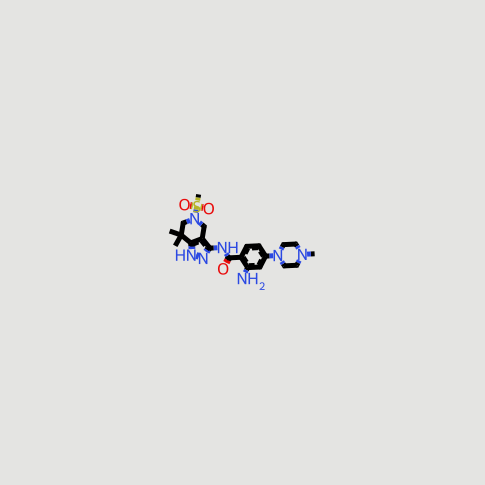 CN1CCN(c2ccc(C(=O)Nc3n[nH]c4c3CN(S(C)(=O)=O)CC4(C)C)c(N)c2)CC1